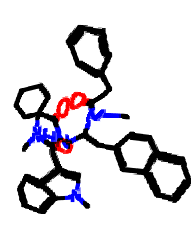 CN(C(=O)Cc1ccccc1)C(Cc1ccc2ccccc2c1)NC(=O)C1(N(C)C(=O)c2cn(C)c3ccccc23)CCCCC1